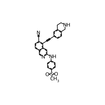 CS(=O)(=O)c1ccc(Nc2cc3c(C#Cc4ccc5c(c4)CCNC5)c(C#N)ccc3cn2)cc1